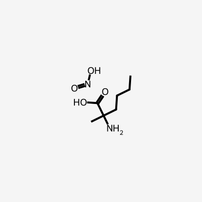 CCCCC(C)(N)C(=O)O.O=NO